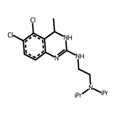 CC1NC(NCCN(C(C)C)C(C)C)=Nc2ccc(Cl)c(Cl)c21